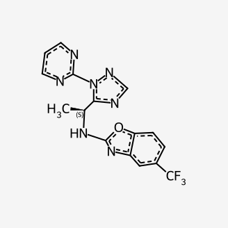 C[C@H](Nc1nc2cc(C(F)(F)F)ccc2o1)c1ncnn1-c1ncccn1